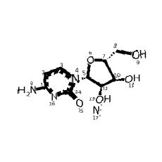 Nc1ccn([C@@H]2O[C@H](CO)[C@@H](O)[C@H]2O)c(=O)n1.[N]